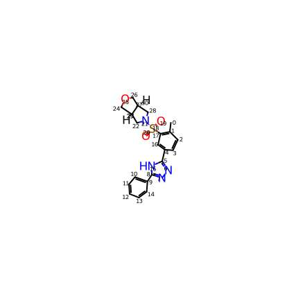 Cc1ccc(-c2nnc(-c3ccccc3)[nH]2)cc1S(=O)(=O)N1C[C@H]2COC[C@H]2C1